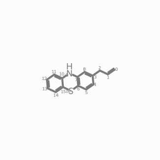 C=CCc1ccc2c(c1)Nc1ccccc1S2